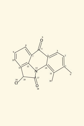 Cc1ccc2c(=O)c3cccc4c3n(c2c1C)C(=O)C4Cl